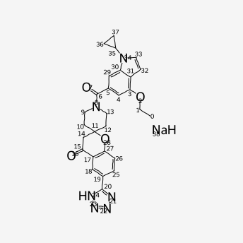 CCOc1cc(C(=O)N2CCC3(CC2)CC(=O)c2cc(-c4nnn[nH]4)ccc2O3)cc2c1ccn2C1CC1.[NaH]